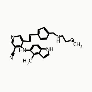 COCCNCc1ccc(C=Cc2cncc(C#N)c2Nc2ccc3[nH]ccc3c2C)cc1